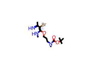 CN/C(OCCCN(C)C(=O)OC(C)(C)C)=C(/Br)C(C)=N